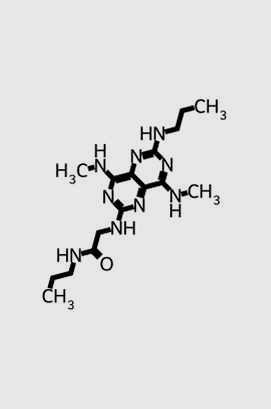 CCCNC(=O)CNc1nc(NC)c2nc(NCCC)nc(NC)c2n1